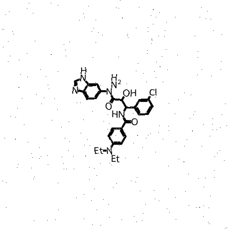 CCN(CC)c1ccc(C(=O)NC(c2cccc(Cl)c2)C(O)C(=O)N(N)c2ccc3nc[nH]c3c2)cc1